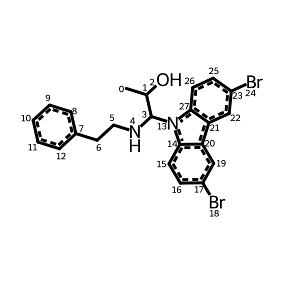 CC(O)C(NCCc1ccccc1)n1c2ccc(Br)cc2c2cc(Br)ccc21